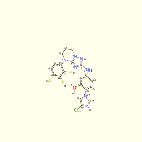 COc1cc(Nc2nc3n(n2)CCCN3c2ccc(F)c(F)c2F)ccc1-n1cnc(Cl)c1